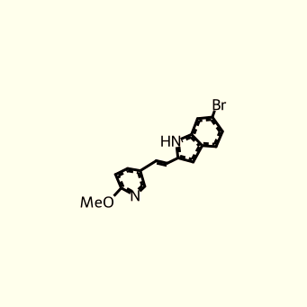 COc1ccc(/C=C/c2cc3ccc(Br)cc3[nH]2)cn1